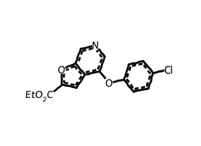 CCOC(=O)c1cc2c(Oc3ccc(Cl)cc3)cncc2o1